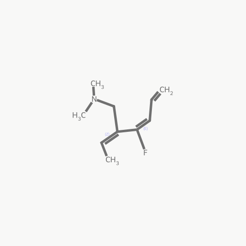 C=C/C=C(F)\C(=C/C)CN(C)C